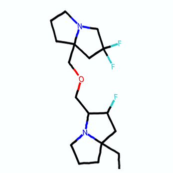 COCC12CCCN1C(COCC13CCCN1CC(F)(F)C3)C(F)C2